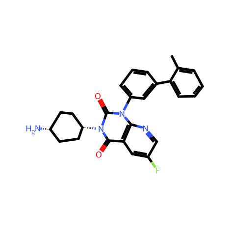 Cc1ccccc1-c1cccc(-n2c(=O)n([C@H]3CC[C@@H](N)CC3)c(=O)c3cc(F)cnc32)c1